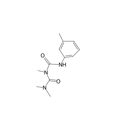 Cc1cccc(NC(=O)N(C)C(=O)N(C)C)c1